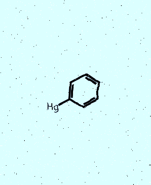 [Hg][c]1cc[c]cc1